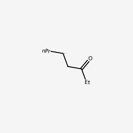 CCC[CH]CC(=O)CC